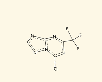 FC(F)(F)c1cc(Cl)n2ncnc2n1